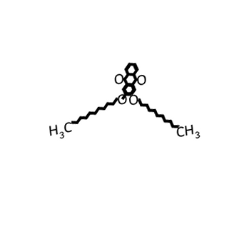 CCCCCCCCCCCCOc1cc2c(cc1OCCCCCCCCCCCC)C(=O)C1C=CC=CC1C2=O